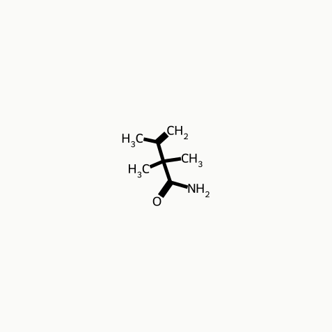 C=C(C)C(C)(C)C(N)=O